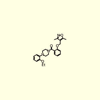 CCOc1ccccc1N1CCN(C(=O)c2ccccc2OCc2c(C)noc2C)CC1